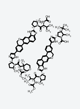 COC(=O)N[C@H](C(=O)N1C(C)CC[C@H]1c1nc2ccc3cc4c(cc3c2[nH]1)OCc1cc(-c2cnc([C@@H]3C[C@@H](C(C)(C)C)C(C)N3C(=O)O)[nH]2)ccc1-4)C(C)C.COC(=O)N[C@H](C(=O)N1[C@@H](C)CC[C@H]1c1ncc(-c2ccc3c(c2)COc2cc4c(ccc5nc([C@@H]6CC[C@H](C)N6C(=O)[C@@H](NC(=O)O)C(C)C)[nH]c54)cc2-3)[nH]1)C1(C)CCOCC1